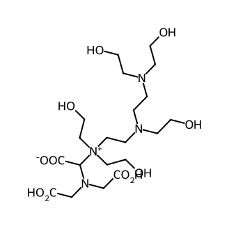 O=C(O)CN(CC(=O)O)C(C(=O)[O-])[N+](CCO)(CCO)CCN(CCO)CCN(CCO)CCO